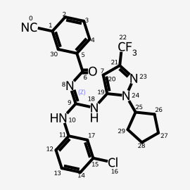 N#Cc1cccc(C(=O)/N=C(/Nc2cccc(Cl)c2)Nc2cc(C(F)(F)F)nn2C2CCCC2)c1